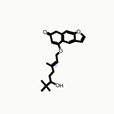 C/C(=C\COC1=CC(=O)Cc2cc3occc3cc21)CCC(O)C(C)(C)C